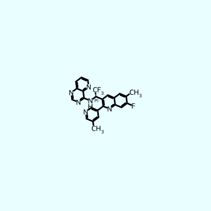 Cc1cncc(-c2nc3cc(F)c(C)cc3cc2[C@@H](Nc2ncnc3cccnc23)C(F)(F)F)c1